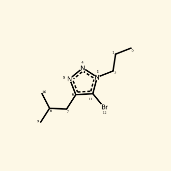 CCCn1nnc(CC(C)C)c1Br